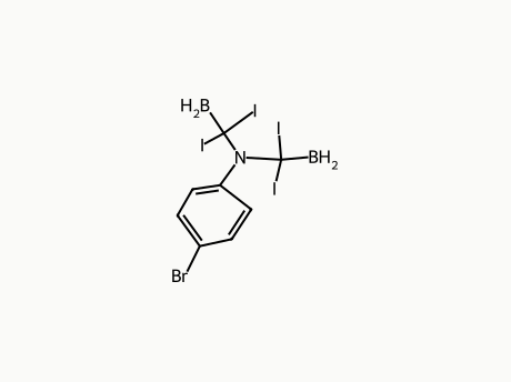 BC(I)(I)N(c1ccc(Br)cc1)C(B)(I)I